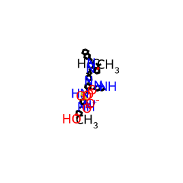 CC(C)c1ccccc1C1CN(Cc2ccc3c(c2)CCCC3)CCN1C1CC2(CCN(c3ccc(C(=O)NS(=O)(=O)c4ccc(NC[C@H]5CC[C@](C)(O)CC5)c([N+](=O)[O-])c4)c(Oc4cnc5[nH]ccc5c4)c3)CC2)C1